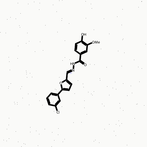 COc1cc(C(=O)N/N=C/c2ccc(-c3cccc(Cl)c3)o2)ccc1O